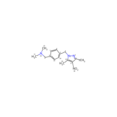 Cc1nn(Cc2ccc(CN(C)C)cc2)c(C)c1[N+](=O)[O-]